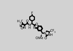 COC[C@H](c1ccc2oc([C@@H](NC(=O)c3nonc3C)C3CCC(F)CC3)nc2c1)N1C[C@@H](C(F)(F)F)NC1=O